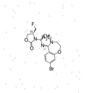 C=C(/N=C1/c2ccc(Br)cc2OCCN1C)N1C(=O)OC[C@H]1CF